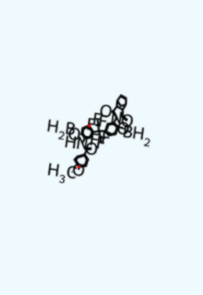 BOc1ccc(C(c2ccc(OB)c(N3C(=O)C4C5C=CC(C5)C4C3=O)c2)(C(F)(F)F)C(F)(F)F)cc1NC(=O)c1ccc(OC)cc1